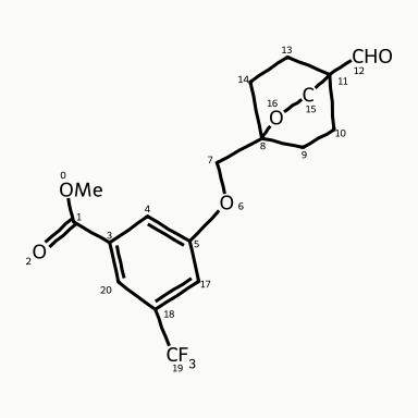 COC(=O)c1cc(OCC23CCC(C=O)(CC2)CO3)cc(C(F)(F)F)c1